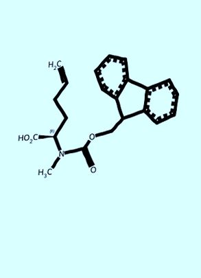 C=CCC[C@H](C(=O)O)N(C)C(=O)OCC1c2ccccc2-c2ccccc21